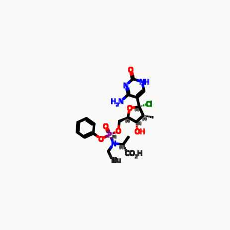 CCC(C)CN([C@H](C)C(=O)O)[P@@](=O)(OC[C@H]1O[C@@](Cl)(c2c[nH]c(=O)nc2N)[C@H](C)[C@@H]1O)Oc1ccccc1